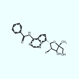 C[C@]1(CO)O[C@@H](c2ccc3c(NC(=O)c4ccccc4)ncnn23)[C@H](F)[C@@H]1O